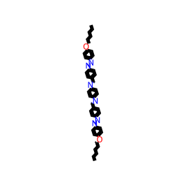 CCCCCCOc1ccc(N=Nc2ccc(C=Nc3ccc(N=Cc4ccc(N=Nc5ccc(OCCCCCC)cc5)cc4)cc3)cc2)cc1